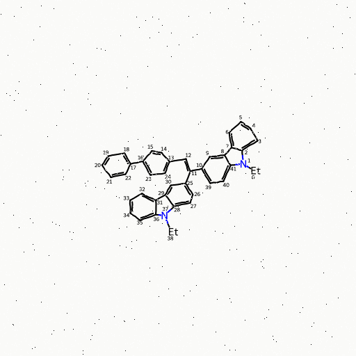 CCn1c2ccccc2c2cc(C(=Cc3ccc(-c4ccccc4)cc3)c3ccc4c(c3)c3ccccc3n4CC)ccc21